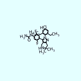 CCc1cccc(CC)c1-n1nc2c(c1-c1cc(F)c(NC(N)=O)cc1F)CNC(C)(C)C2.Cl